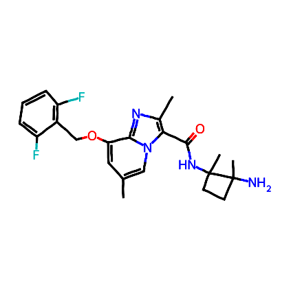 Cc1cc(OCc2c(F)cccc2F)c2nc(C)c(C(=O)NC3(C)CCC3(C)N)n2c1